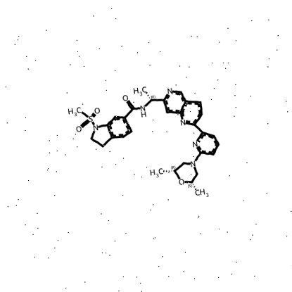 C[C@@H]1CN(c2cccc(-c3ccc4cnc([C@@H](C)NC(=O)c5ccc6c(c5)N(S(C)(=O)=O)CC6)cc4n3)n2)C[C@H](C)O1